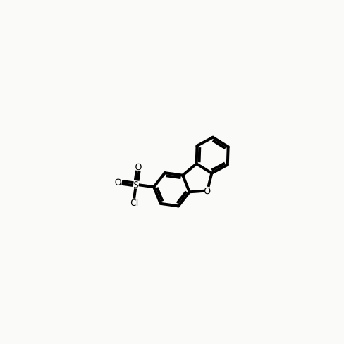 O=S(=O)(Cl)c1ccc2oc3ccccc3c2c1